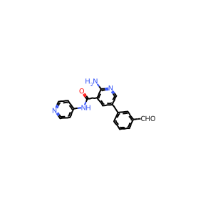 Nc1ncc(-c2cccc(C=O)c2)cc1C(=O)Nc1ccncc1